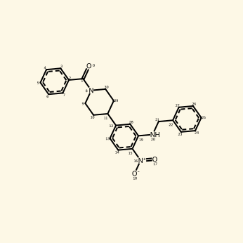 O=C(c1ccccc1)N1CCC(c2ccc([N+](=O)[O-])c(NCc3ccccc3)c2)CC1